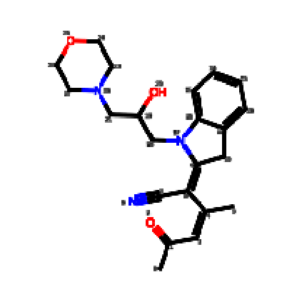 CC(=O)/C=C(C)\C(C#N)=C1/Cc2ccccc2N1CC(O)CN1CCOCC1